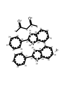 CC(=O)CC(C)=O.[Ir].c1ccc(-c2nc3ccccc3s2)cc1.c1ccc(-c2nc3ccccc3s2)cc1